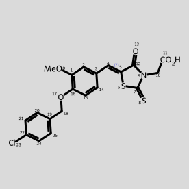 COc1cc(/C=C2\SC(=S)N(CC(=O)O)C2=O)ccc1OCc1ccc(Cl)cc1